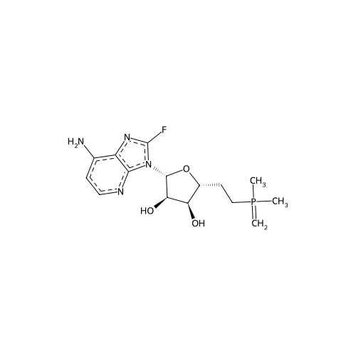 C=P(C)(C)CC[C@H]1O[C@@H](n2c(F)nc3c(N)ccnc32)[C@H](O)[C@@H]1O